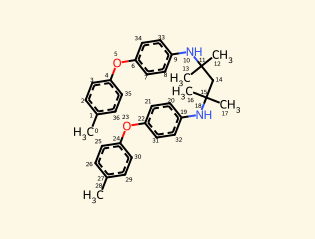 Cc1ccc(Oc2ccc(NC(C)(C)CC(C)(C)Nc3ccc(Oc4ccc(C)cc4)cc3)cc2)cc1